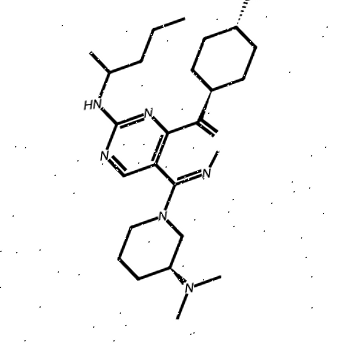 C=C(c1nc(NC(C)CCC)ncc1/C(=N\C)N1CCC[C@H](N(C)C)C1)[C@H]1CC[C@H](O)CC1